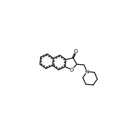 O=C1c2cc3ccccc3cc2OC1CN1CCCCC1